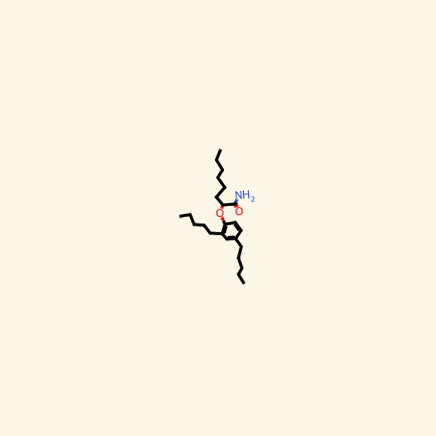 CCCCCCC(Oc1ccc(CCCCC)cc1CCCCC)C(N)=O